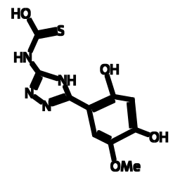 COc1cc(-c2nnc(NC(O)=S)[nH]2)c(O)cc1O